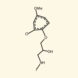 COc1ccc(OCC(O)CNI)c(Cl)c1